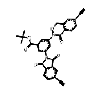 C#Cc1ccc2c(c1)CON(c1cc(C(=O)OC(C)(C)C)cc(N3C(=O)c4ccc(C#C)cc4C3=O)c1)C2=O